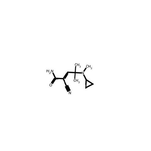 CN(C1CC1)C(C)(C)/C=C(\C#N)C(N)=O